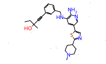 CCC(C)(O)C#Cc1cccc(CNc2cc(-c3cnc(C4CCN(C)CC4)s3)cnc2N)c1